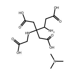 CN(C)C.NC(CC(=O)O)C(CC(=O)O)(CC(=O)O)NCC(=O)O